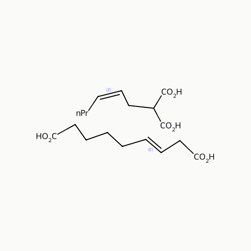 CCC/C=C\CC(C(=O)O)C(=O)O.O=C(O)C/C=C/CCCCC(=O)O